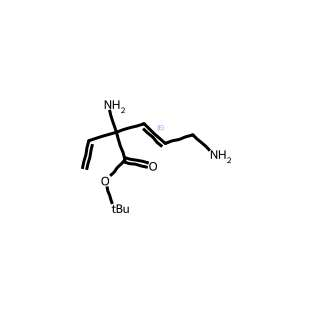 C=CC(N)(/C=C/CN)C(=O)OC(C)(C)C